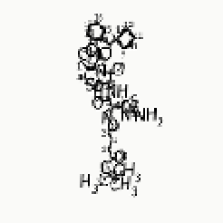 C=CC1=C(C(=O)OC(c2ccccc2)c2ccccc2)N2C(=O)C(NC(=O)/C(=N/OCCCC(=O)OC(C)(C)C)c3csc(N)n3)[C@H]2SC1